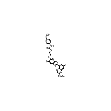 COc1cnc2c(-c3nc4cc(F)c(OCCOC(=O)Nc5ccc(CO)nc5)nc4s3)cc(C)cc2n1